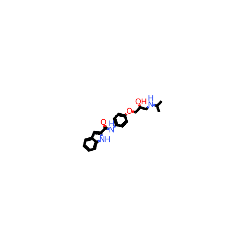 CC(C)NCC(O)COc1ccc(NC(=O)c2cc3ccccc3[nH]2)cc1